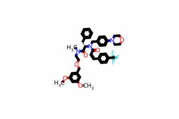 COc1cc(COCCN(C)C(=O)[C@H](Cc2ccccc2)N(Cc2ccc(N3CCOCC3)cc2)C(=O)C=Cc2ccc(C(F)(F)F)cc2)cc(OC)c1